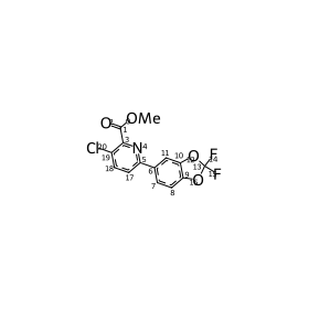 COC(=O)c1nc(-c2ccc3c(c2)OC(F)(F)O3)ccc1Cl